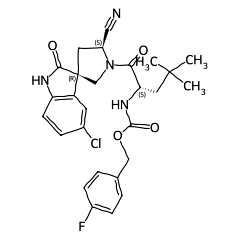 CC(C)(C)C[C@H](NC(=O)OCc1ccc(F)cc1)C(=O)N1C[C@]2(C[C@H]1C#N)C(=O)Nc1ccc(Cl)cc12